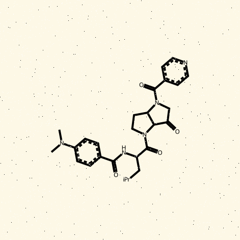 CC(C)CC(NC(=O)c1ccc(N(C)C)cc1)C(=O)N1CCC2C1C(=O)CN2C(=O)c1ccncc1